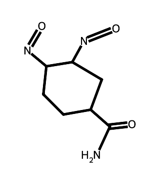 NC(=O)C1CCC(N=O)C(N=O)C1